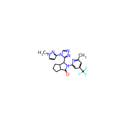 Cc1cc(C(F)(F)F)cc(N2C(=O)C3CCCC3C2c2nncn2-c2ccn(C)n2)n1